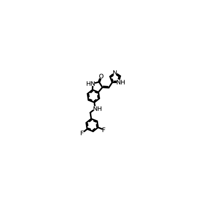 O=C1Nc2ccc(NCc3cc(F)cc(F)c3)cc2C1=Cc1cnc[nH]1